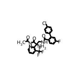 CC(=O)NC(=O)C(N)(CNC(=O)c1ccc(F)cc1-c1ccc(Cl)cc1)c1ncccc1C(F)(F)F